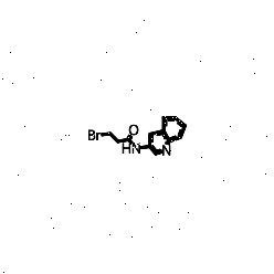 O=C(CCBr)Nc1cnc2ccccc2c1